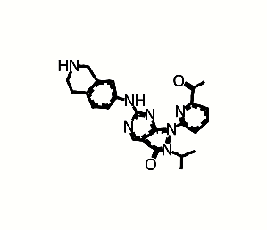 CC(=O)c1cccc(-n2c3nc(Nc4ccc5c(c4)CNCC5)ncc3c(=O)n2C(C)C)n1